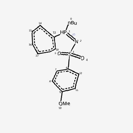 CCCC/[PH](=N/S(=O)(=O)c1ccc(OC)cc1)c1ccccc1